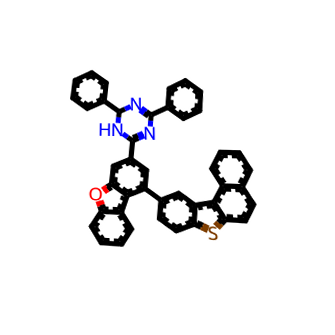 c1ccc(C2=NC(c3ccccc3)NC(c3cc(-c4ccc5sc6ccc7ccccc7c6c5c4)c4c(c3)oc3ccccc34)=N2)cc1